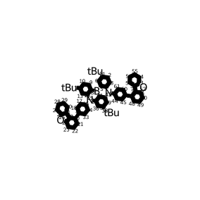 CC(C)(C)c1ccc2c(c1)B1c3ccc(C(C)(C)C)cc3N(c3ccc(-c4cccc5oc6ccccc6c45)cc3)c3cc(C(C)(C)C)cc(c31)N2c1ccc(-c2cccc3oc4ccccc4c23)cc1